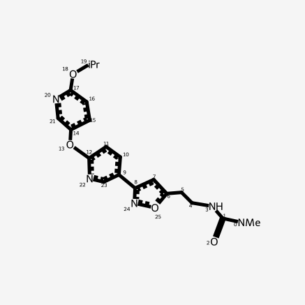 CNC(=O)NCCc1cc(-c2ccc(Oc3ccc(OC(C)C)nc3)nc2)no1